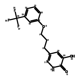 O=c1[nH]nc(CCCOc2cccc(C(F)(F)F)c2)cc1O